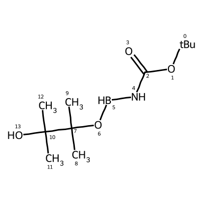 CC(C)(C)OC(=O)NBOC(C)(C)C(C)(C)O